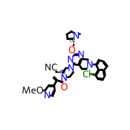 C=C(C(=O)N1CCN(c2nc(OC[C@@H]3CCCN3C)nc3c2CCN(c2cccc4cccc(Cl)c24)C3)C[C@@H]1CC#N)c1ccnc(OC)c1